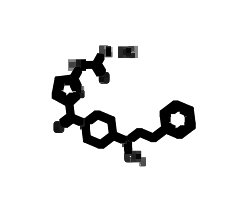 CCC(=O)Nc1ccc(C(=O)N2CCC(N(C)CCc3ccccc3)CC2)s1.Cl